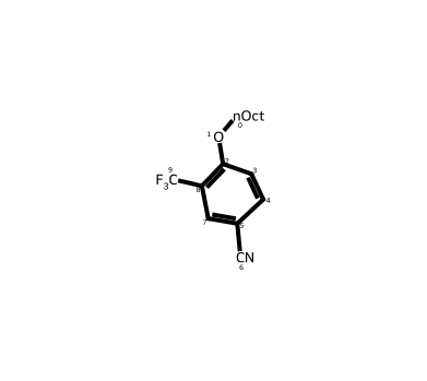 CCCCCCCCOc1ccc(C#N)cc1C(F)(F)F